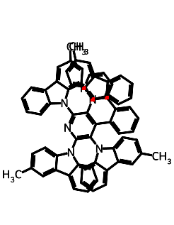 Cc1ccc2c(c1)c1ccccc1n2-c1nc(-n2c3ccccc3c3cc(C)ccc32)c(-n2c3ccccc3c3cc(C)ccc32)c(-c2ccccc2-c2cccnc2)c1-n1c2ccccc2c2cc(C)ccc21